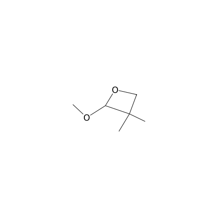 COC1OCC1(C)C